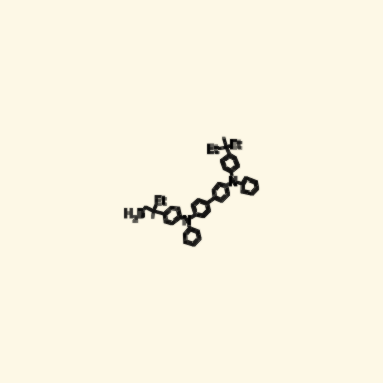 BCC(C)(CC)c1ccc(N(c2ccccc2)c2ccc(-c3ccc(N(c4ccccc4)c4ccc(C(C)(CC)CC)cc4)cc3)cc2)cc1